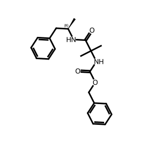 C[C@H](Cc1ccccc1)NC(=O)C(C)(C)NC(=O)OCc1ccccc1